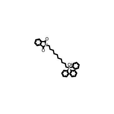 O=C1c2ccccc2C(=O)N1CCCCCCCCCCP(O)(c1ccccc1)(c1ccccc1)c1ccccc1